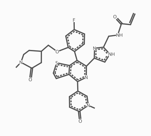 C=CC(=O)NCc1nc(-c2nc(-c3ccc(=O)n(C)c3)c3ccsc3c2-c2ccc(F)cc2OCC2CCN(C)C(=O)C2)c[nH]1